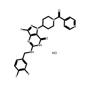 Cl.O=C(c1ccncc1)N1CCC(n2nc(F)c3nc(NCc4ccc(F)c(F)c4)[nH]c(=O)c32)CC1